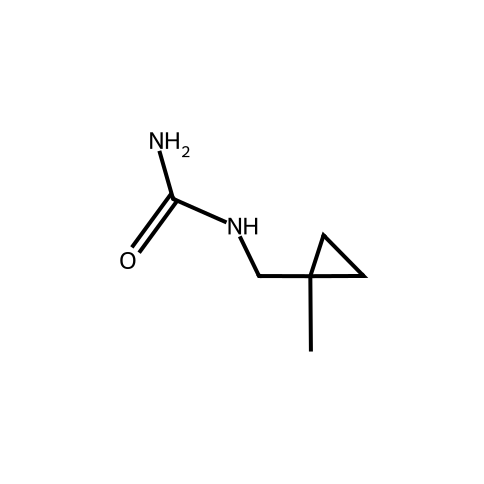 CC1(CNC(N)=O)CC1